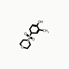 CC1=CC(S(=O)(=O)N2CCOCC2)CC=C1O